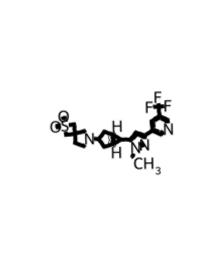 CCn1nc(-c2cncc(C(F)(F)F)c2)cc1C1[C@H]2CC(N3CCC4(C3)CS(=O)(=O)C4)C[C@@H]12